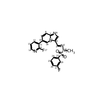 CN(N=Cc1cnc2ccc(-c3cccnc3F)cn12)S(=O)(=O)c1cccc(F)c1